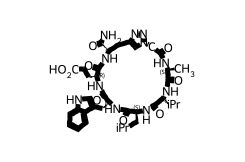 CC(C)C[C@@H]1NC(=O)[C@@H](C(C)C)NC(=O)[C@H](C)NC(=O)Cn2cc(nn2)C[C@@H](C(N)=O)NC(=O)[C@@H](CCC(=O)O)NC(=O)[C@@H](Cc2c[nH]c3ccccc23)NC1=O